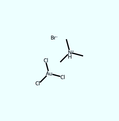 C[NH+](C)C.[Br-].[Cl][Au]([Cl])[Cl]